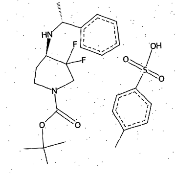 C[C@@H](N[C@@H]1CCN(C(=O)OC(C)(C)C)CC1(F)F)c1ccccc1.Cc1ccc(S(=O)(=O)O)cc1